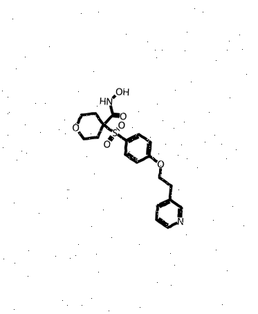 O=C(NO)C1(S(=O)(=O)c2ccc(OCCc3cccnc3)cc2)CCOCC1